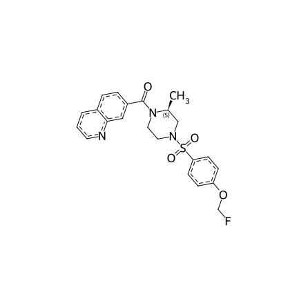 C[C@H]1CN(S(=O)(=O)c2ccc(OCF)cc2)CCN1C(=O)c1ccc2cccnc2c1